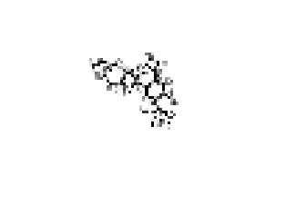 CCCN(C)C(=O)c1cc(-c2nc3c([nH]2)CNCC3)c(C2CCC2)cc1C